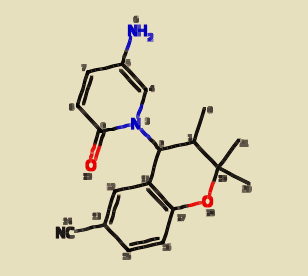 CC1C(n2cc(N)ccc2=O)c2cc(C#N)ccc2OC1(C)C